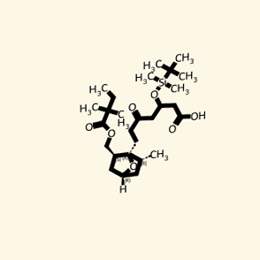 CCC(C)(C)C(=O)OC[C@@H]1C[C@H]2C[C@@H](C)[C@@]1(CCC(=O)CC(CC(=O)O)O[Si](C)(C)C(C)(C)C)O2